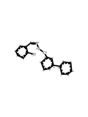 Clc1ccccc1/[C]=N\OCc1cccc(-c2ccccc2)c1